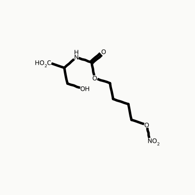 O=C(NC(CO)C(=O)O)OCCCCO[N+](=O)[O-]